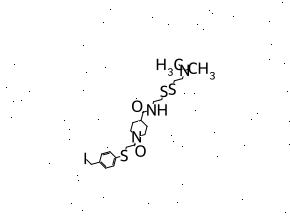 CN(C)CCSSCCNC(=O)C1CCN(C(=O)CSc2ccc(CI)cc2)CC1